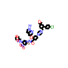 O=C(NSc1ccc(NCC2COCCO2)c([N+](=O)[O-])c1)c1ccc(N2CCN(CC3=C(c4ccc(Cl)cc4)CC4(CC3)COC4)CC2)cc1Oc1cnc2[nH]ccc2c1